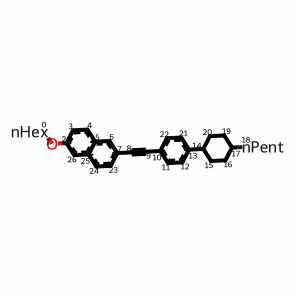 CCCCCCOc1ccc2cc(C#Cc3ccc(C4CCC(CCCCC)CC4)cc3)ccc2c1